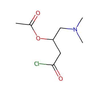 CC(=O)OC(CC(=O)Cl)CN(C)C